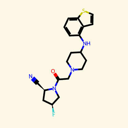 N#C[C@@H]1C[C@H](F)CN1C(=O)CN1CCC(Nc2cccc3sccc23)CC1